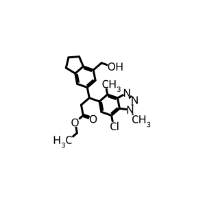 CCOC(=O)CC(c1cc(CO)c2c(c1)CCC2)c1cc(Cl)c2c(nnn2C)c1C